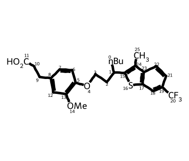 CCCCC(CCOc1ccc(CCC(=O)O)cc1OC)c1sc2cc(C(F)(F)F)ccc2c1C